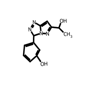 CC(O)c1cc2n(n1)C(c1cccc(O)c1)N=N2